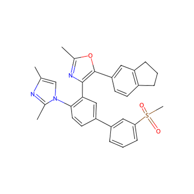 Cc1cn(-c2ccc(-c3cccc(S(C)(=O)=O)c3)cc2-c2nc(C)oc2-c2ccc3c(c2)CCC3)c(C)n1